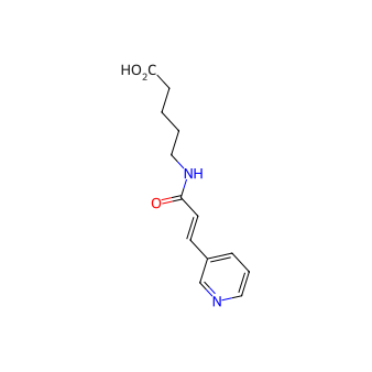 O=C(O)CCCCNC(=O)C=Cc1cccnc1